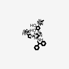 Cc1nnn([C@H]2C[C@@H](n3cnc4c(NCC(c5ccccc5)c5ccccc5)nc(N5CCC(NS(C)(=O)=O)C5)nc43)[C@H](O)[C@@H]2O)n1